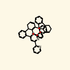 C1=CC2=C(CC1)c1ccccc1C21C2=C(Oc3ccccc31)C(c1ccccc1-c1cc(-c3ccccn3)nc(-c3ccccc3)n1)CC=C2